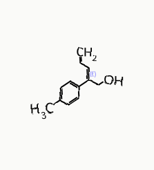 C=C/C=C(/CO)c1ccc(C)cc1